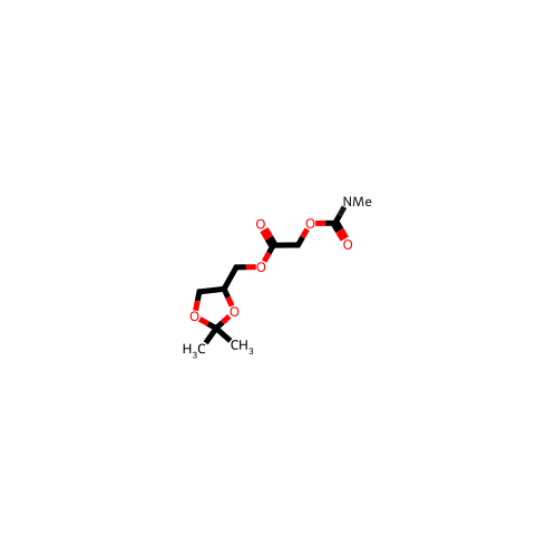 CNC(=O)OCC(=O)OCC1COC(C)(C)O1